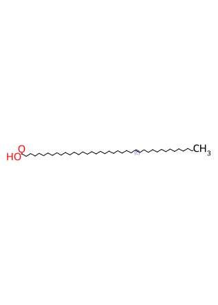 CCCCCCCCCCCCC/C=C/CCCCCCCCCCCCCCCCCCCCCCCCCC(=O)O